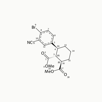 COC(=O)[C@@H]1[C@@H](c2ccc(Br)c(C#N)c2)CCC[C@H]1C(=O)OC